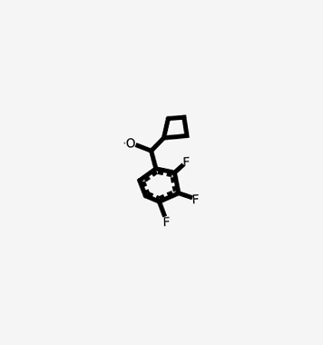 [O]C(c1ccc(F)c(F)c1F)C1CCC1